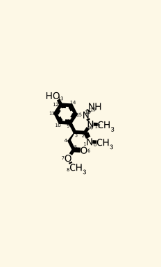 C/N=C(/[C@@H](CC(=O)OC)c1ccc(O)cc1)N(C)N=N